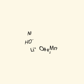 O.[Li+].[Mn].[Ni].[OH-]